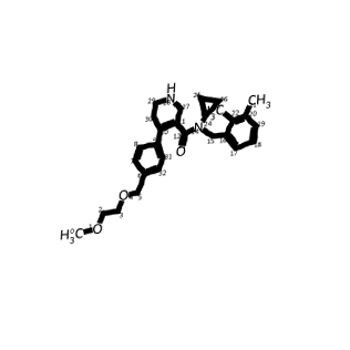 COCCOCc1ccc(C2=C(C(=O)N(Cc3cccc(C)c3C)C3CC3)CNCC2)cc1